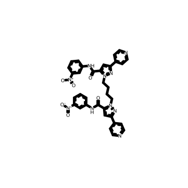 O=C(Nc1cccc([N+](=O)[O-])c1)c1cc(-c2ccncc2)nn1CCCCn1nc(-c2ccncc2)cc1C(=O)Nc1cccc([N+](=O)[O-])c1